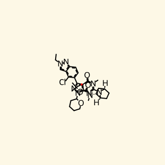 CCn1cc2c(Cl)c(-c3nn(C4CCCCO4)c4nc(N5[C@H]6CC[C@@H]5[C@H](N(C)C(=O)OC(C)(C)C)C6)n(C)c(=O)c34)ccc2n1